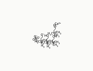 C[N+](C)(C)CCO.C[N+](C)(C)CCO.C[N+](C)(C)CC[O-].C[N+](C)(C)CC[O-].O=P([O-])([O-])[O-].[Ca+2].[Cl-]